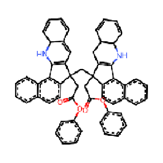 O=C(CC1(CC2(CC(=O)Oc3ccccc3)C3=C(NC4C=CC=CC4C3)c3c2ccc2ccccc32)C2=C(NC3C=CC=CC3=C2)c2c1ccc1ccccc21)Oc1ccccc1